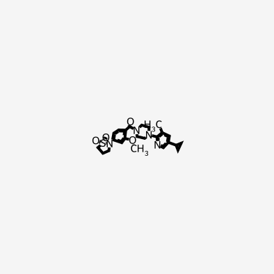 COc1cc(N2CCCS2(=O)=O)ccc1C(=O)N1CCN(c2ncc(C3CC3)cc2C)CC1